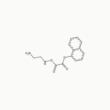 NCCNOC(=O)C(=O)Oc1cccc2ccccc12